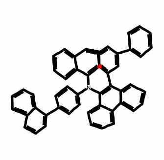 c1ccc(-c2cccc(-c3c(N(c4ccc(-c5cccc6ccccc56)cc4)c4cccc5ccccc45)c4ccccc4c4ccccc34)c2)cc1